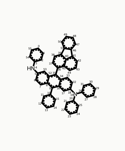 c1ccc(Nc2ccc3c(-c4ccccc4)c4cc(N(c5ccccc5)c5ccccc5)ccc4c(-c4ccc5c6c(cccc46)-c4ccccc4-5)c3c2)cc1